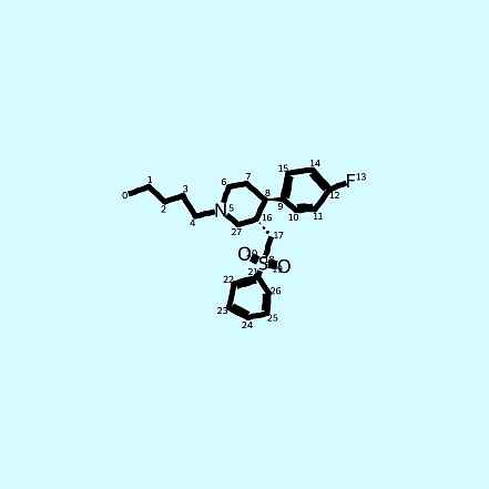 CCCCCN1CC[C@@H](c2ccc(F)cc2)[C@H](CS(=O)(=O)c2ccccc2)C1